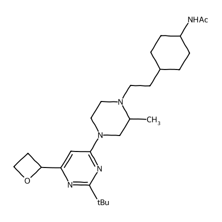 CC(=O)NC1CCC(CCN2CCN(c3cc(C4CCO4)nc(C(C)(C)C)n3)CC2C)CC1